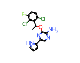 CC(Oc1nc(-c2ccc[nH]2)cnc1N)c1c(Cl)ccc(F)c1Cl